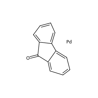 O=C1c2ccccc2-c2ccccc21.[Pd]